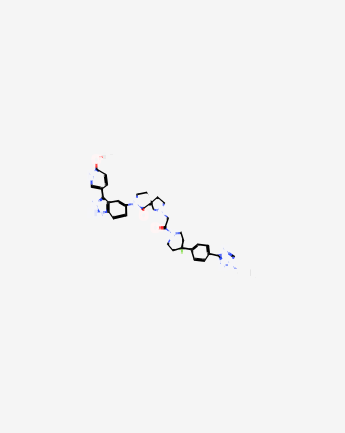 CC(C)Oc1ccc(-c2n[nH]c3ccc(N4CC[C@]5(CCN(CC(=O)N6CCC(F)(c7ccc(-c8ncn(C)n8)cc7)CC6)C5)C4=O)cc23)cn1